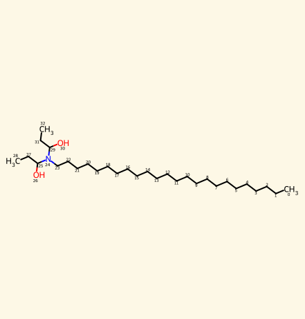 CCCCCCCCCCCCCCCCCCCCCCCCN(C(O)CC)C(O)CC